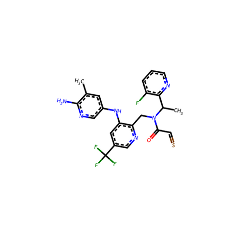 Cc1cc(Nc2cc(C(F)(F)F)cnc2CN(C(=O)C=S)C(C)c2ncccc2F)cnc1N